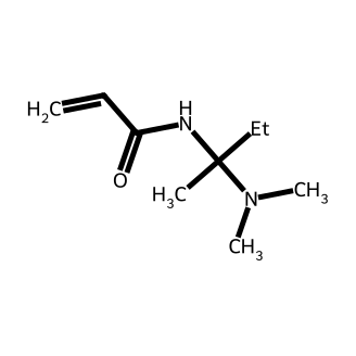 C=CC(=O)NC(C)(CC)N(C)C